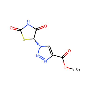 CCCCOC(=O)c1cn([C@H]2SC(=O)NC2=O)nn1